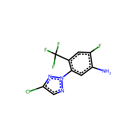 Nc1cc(-n2ncc(Cl)n2)c(C(F)(F)F)cc1F